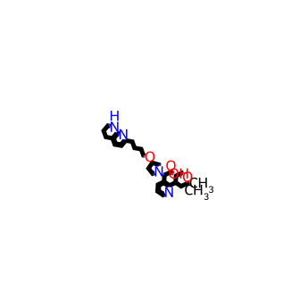 CC1(C)CC(c2ncccc2C(C(=O)O)N2CC[C@@H](OCCCCc3ccc4c(n3)NCCC4)C2)CCO1